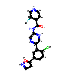 O=C(Nc1cnc(-c2cc(-c3ccno3)ccc2Cl)cn1)c1ccncc1F